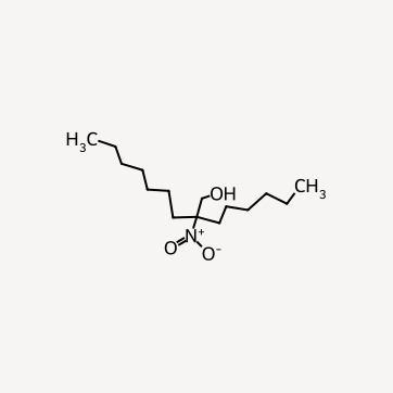 CCCCCCCC(CO)(CCCCCC)[N+](=O)[O-]